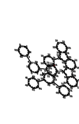 c1ccc(-c2cccc(-c3ccc(-n4c5ccccc5c5ccc6c7ccccc7n(-c7cccc(-c8nc(-c9ccccc9)cc(-c9ccccc9)n8)c7)c6c54)cc3)c2)cc1